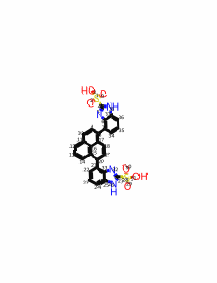 O=S(=O)(O)c1nc2c(-c3ccc4cccc5c4c3C=CC5c3cccc4[nH]c(S(=O)(=O)O)nc34)cccc2[nH]1